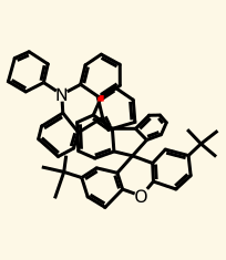 CC(C)(C)c1ccc2c(c1)C1(c3cc(C(C)(C)C)ccc3O2)c2ccccc2-c2c(-c3ccccc3N(c3ccccc3)c3ccccc3-c3ccccc3)cccc21